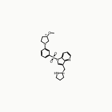 CO[C@@H]1CCN(c2cccc(S(=O)(=O)n3cc(C[C@H]4CCCN4)c4ncccc43)c2)C1